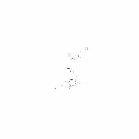 CCCCOc1c(CNC(=O)CCC(C)(CC)NC(=O)CCN)n(C)c(C)cc1=O